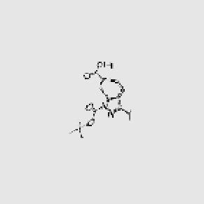 CC(C)(C)OC(=O)n1nc(I)c2ccc(C(=O)O)cc21